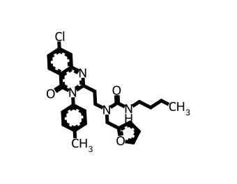 CCCCNC(=O)N(CCc1nc2cc(Cl)ccc2c(=O)n1-c1ccc(C)cc1)Cc1ccco1